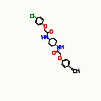 C#Cc1ccc(OCC(=O)N[C@H]2CC[C@H](NC(=O)COc3ccc(Cl)cc3)CC2)cc1